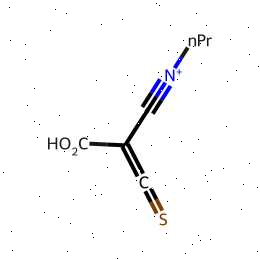 CCC[N+]#CC(=C=S)C(=O)O